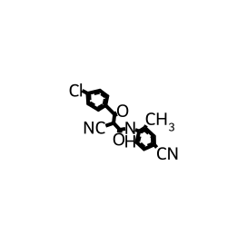 Cc1cc(C#N)ccc1NC(=O)C(C#N)C(=O)c1ccc(Cl)cc1